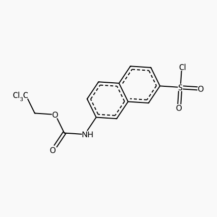 O=C(Nc1ccc2ccc(S(=O)(=O)Cl)cc2c1)OCC(Cl)(Cl)Cl